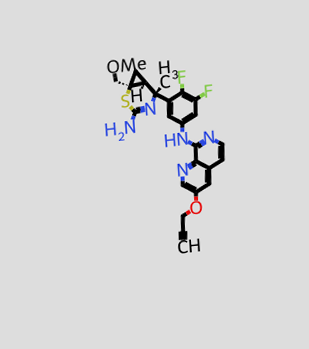 C#CCOc1cnc2c(Nc3cc(F)c(F)c([C@]4(C)N=C(N)S[C@@]5(COC)C[C@H]54)c3)nccc2c1